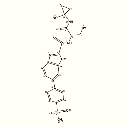 CC(C)C[C@H](NC(=O)c1nc2ccc(-c3ccc(S(C)(=O)=O)cc3)cc2o1)C(=O)NC1(C#N)CC1